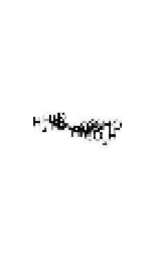 Nc1nc2ccc(CCc3ccc(C(=O)N[C@@H](CCC(=O)OC=O)C(=O)O)cc3)cc2c(=O)[nH]1